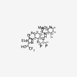 CCn1c([C@H](O)C(F)(F)F)nn(-c2cc(O[C@@H](CF)C(F)F)c(C(=O)Nc3c(C)ccnc3OC)cc2F)c1=O